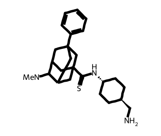 CNC1C2CC3(C(=S)N[C@H]4CC[C@H](CN)CC4)CC1CC(c1ccccc1)(C2)C3